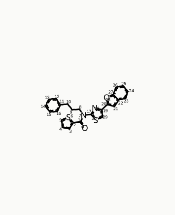 O=C(c1cccs1)N(CCCc1ccccc1)c1nc(-c2cc3ccccc3o2)cs1